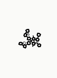 Cc1ccc2c(c1)C(c1ccc(-c3cccc4c3oc3ccccc34)cc1)(c1ccc(-c3cccc4c3sc3ccccc34)cc1)c1cc(C)cc(N(c3ccccc3)c3ccc(-c4ccccc4)cc3)c1-2